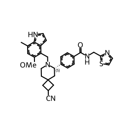 COc1cc(C)c2[nH]ccc2c1CN1CCC2(CC(C#N)C2)C[C@H]1c1ccc(C(=O)NCc2nccs2)cc1